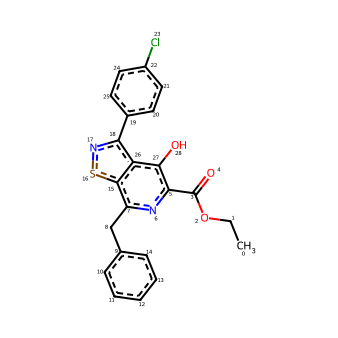 CCOC(=O)c1nc(Cc2ccccc2)c2snc(-c3ccc(Cl)cc3)c2c1O